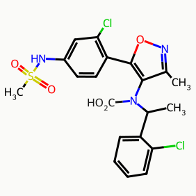 Cc1noc(-c2ccc(NS(C)(=O)=O)cc2Cl)c1N(C(=O)O)C(C)c1ccccc1Cl